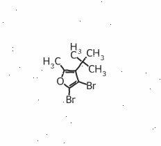 Cc1oc(Br)c(Br)c1C(C)(C)C